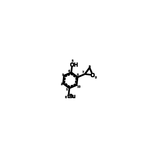 CC(C)(C)c1ccc(O)c(C2CO2)c1